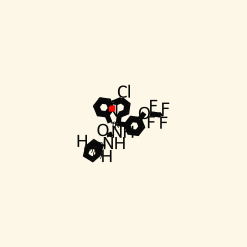 O=C(N[C@@H]1C[C@H]2CC[C@@H]1C2)N[C@](Cc1ccccc1)(c1cccc(OC(F)(F)C(F)F)c1)c1ccc(Cl)cn1